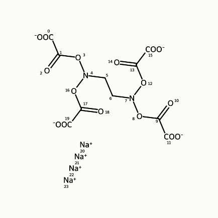 O=C([O-])C(=O)ON(CCN(OC(=O)C(=O)[O-])OC(=O)C(=O)[O-])OC(=O)C(=O)[O-].[Na+].[Na+].[Na+].[Na+]